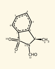 C[C@@H]1c2ccccc2S(=O)(=O)N1C=O